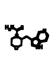 NC(=S)N1CCOC[C@@H]1Cc1c[nH]c2ccncc12